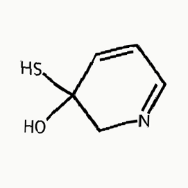 OC1(S)C=CC=NC1